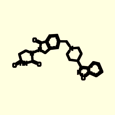 O=C1CCN(N2Cc3cc(CN4CCC(c5noc6ccccc56)CC4)ccc3C2=O)C(=O)N1